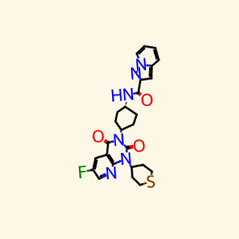 O=C(N[C@H]1CC[C@@H](n2c(=O)c3cc(F)cnc3n(C3CCSCC3)c2=O)CC1)c1cc2ccccn2n1